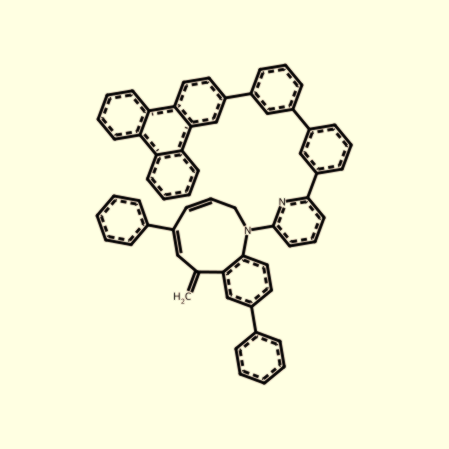 C=C1/C=C(c2ccccc2)\C=C/CN(c2cccc(-c3cccc(-c4cccc(-c5ccc6c7ccccc7c7ccccc7c6c5)c4)c3)n2)c2ccc(-c3ccccc3)cc21